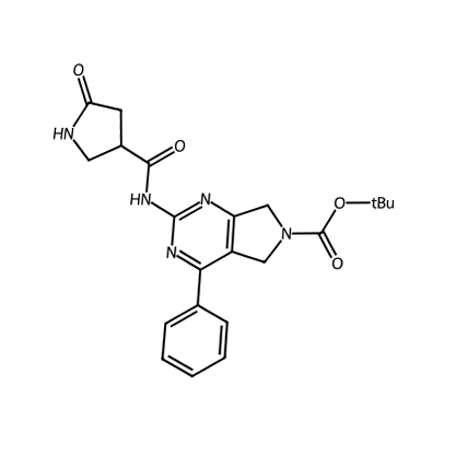 CC(C)(C)OC(=O)N1Cc2nc(NC(=O)C3CNC(=O)C3)nc(-c3ccccc3)c2C1